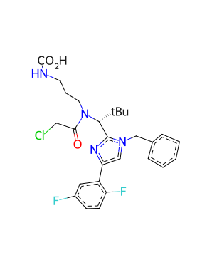 CC(C)(C)[C@H](c1nc(-c2cc(F)ccc2F)cn1Cc1ccccc1)N(CCCNC(=O)O)C(=O)CCl